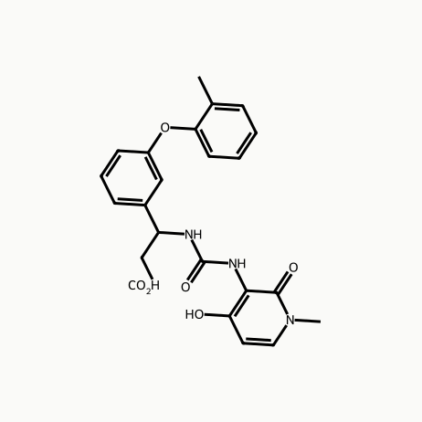 Cc1ccccc1Oc1cccc(C(CC(=O)O)NC(=O)Nc2c(O)ccn(C)c2=O)c1